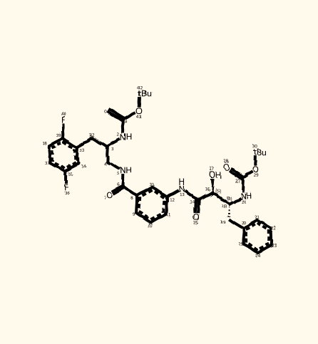 C=C(NC(CNC(=O)c1cccc(NC(=O)[C@@H](O)[C@@H](Cc2ccccc2)NC(=O)OC(C)(C)C)c1)Cc1cc(F)ccc1F)OC(C)(C)C